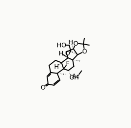 CC(C)=O.CC1(C)O[C@@H]2C[C@H]3[C@@H]4CCC5=CC(=O)C=C[C@]5(C)C4(F)[C@@H](O)C[C@]3(C)[C@]2(C(=O)CO)O1